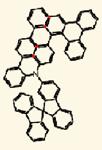 c1ccc(-c2ccc(-c3ccccc3N(c3ccc(-c4cccc5c6ccccc6c6ccccc6c45)cc3)c3ccc4c(c3)C3(c5ccccc5-c5ccccc53)c3ccccc3-4)cc2)cc1